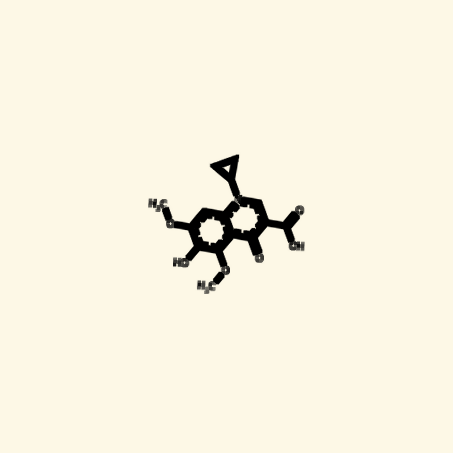 COc1cc2c(c(OC)c1O)c(=O)c(C(=O)O)cn2C1CC1